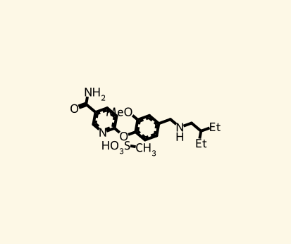 CCC(CC)CNCc1ccc(Oc2ccc(C(N)=O)cn2)c(OC)c1.CS(=O)(=O)O